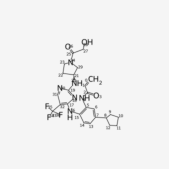 C=CC(=O)Nc1cc(C2CCCC2)ccc1Nc1nc(N[C@H]2CCN(C(=O)CO)C2)ncc1C(F)(F)F